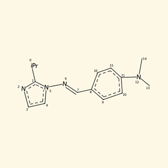 CC(C)c1nccn1N=Cc1ccc(N(C)C)cc1